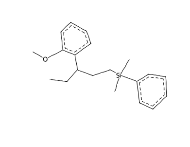 CCC(CC[Si](C)(C)c1ccccc1)c1ccccc1OC